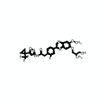 COc1cc2ncc(-c3ccc(CC(=O)Nc4cc(C5(C(F)(F)F)CC5)on4)c(F)c3)nc2cc1OCC(C)CO